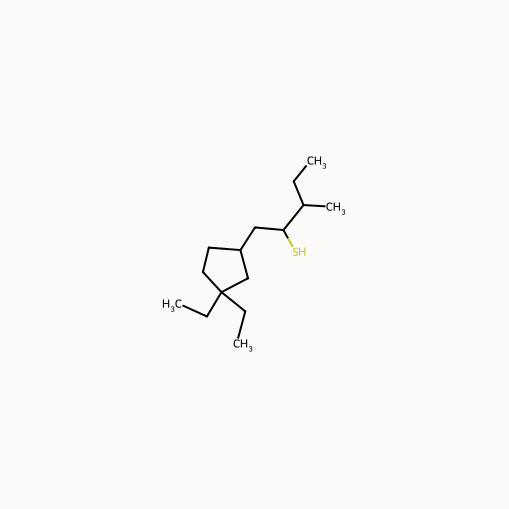 CCC(C)C(S)CC1CCC(CC)(CC)C1